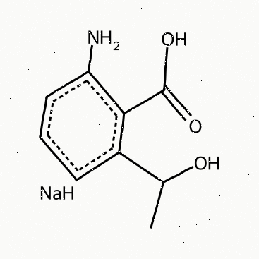 CC(O)c1cccc(N)c1C(=O)O.[NaH]